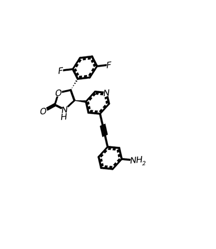 Nc1cccc(C#Cc2cncc([C@H]3NC(=O)O[C@@H]3c3cc(F)ccc3F)c2)c1